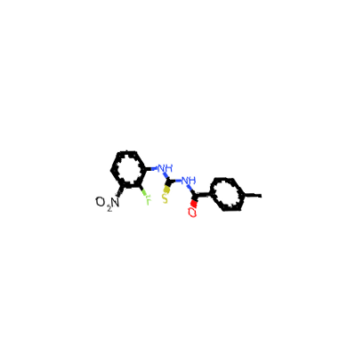 Cc1ccc(C(=O)NC(=S)Nc2cccc([N+](=O)[O-])c2F)cc1